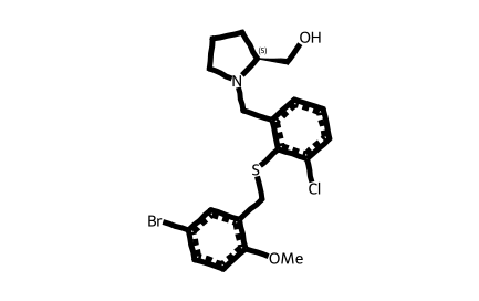 COc1ccc(Br)cc1CSc1c(Cl)cccc1CN1CCC[C@H]1CO